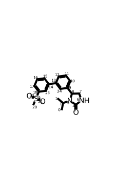 CC(C)N1C(=O)NCC1c1cccc(-c2cccc(S(C)(=O)=O)c2)c1